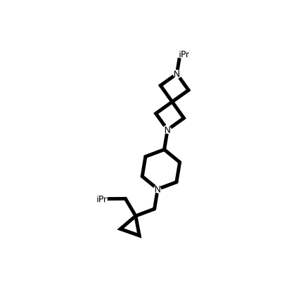 CC(C)CC1(CN2CCC(N3CC4(CN(C(C)C)C4)C3)CC2)CC1